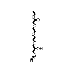 CCOC(=O)COCCOCCOCC(O)CN=[N+]=[N-]